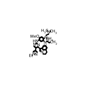 C=CC(=O)Nc1cc(Nc2ncc(-c3cnn(CC)c3)c(-c3cn4c5c(cccc35)CCC4)n2)c(OC)cc1N(C)CCN(C)C